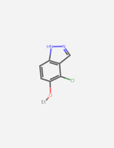 CCOc1ccc2[nH]ncc2c1Cl